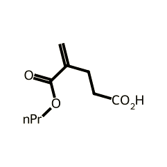 C=C(CCC(=O)O)C(=O)OCCC